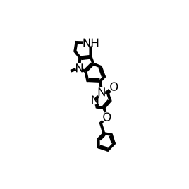 Cn1c2c(c3ccc(-n4ncc(OCc5ccccc5)cc4=O)cc31)CNCC2